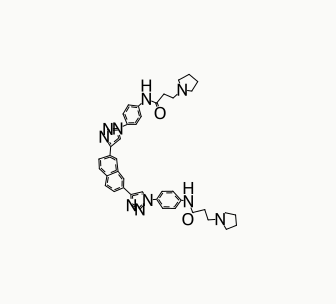 O=C(CCN1CCCC1)Nc1ccc(-n2cc(-c3ccc4ccc(-c5cn(-c6ccc(NC(=O)CCN7CCCC7)cc6)nn5)cc4c3)nn2)cc1